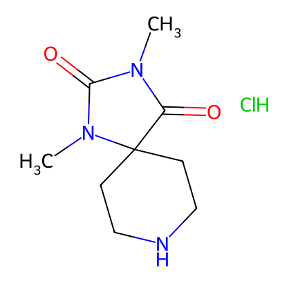 CN1C(=O)N(C)C2(CCNCC2)C1=O.Cl